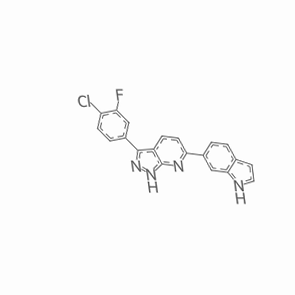 Fc1cc(-c2n[nH]c3nc(-c4ccc5cc[nH]c5c4)ccc23)ccc1Cl